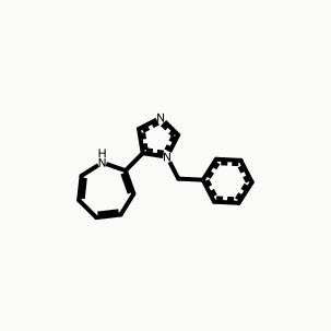 C1=CC=C(c2cncn2Cc2ccccc2)NC=C1